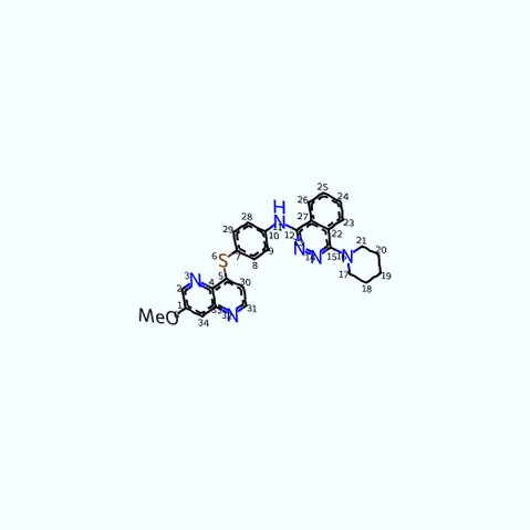 COc1cnc2c(Sc3ccc(Nc4nnc(N5CCCCC5)c5ccccc45)cc3)ccnc2c1